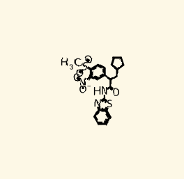 CS(=O)(=O)c1ccc(C(CC2CCCC2)C(=O)Nc2nc3ccccc3s2)cc1[N+](=O)[O-]